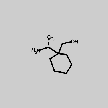 C[C@@H](N)C1(CO)CCCCC1